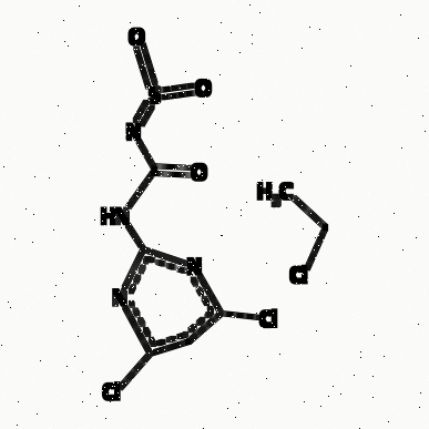 CCCl.O=C(N=S(=O)=O)Nc1nc(Cl)cc(Cl)n1